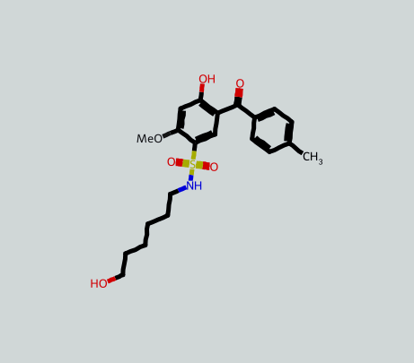 COc1cc(O)c(C(=O)c2ccc(C)cc2)cc1S(=O)(=O)NCCCCCCO